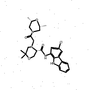 C[C@@H]1CN(C(=O)CN2CC(C)(C)OC[C@H]2C(=O)Nc2cc(Cl)cc3c2[nH]c2ccccc23)C[C@H](C)O1